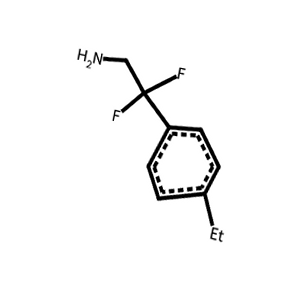 CCc1ccc(C(F)(F)CN)cc1